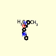 Cc1ccc2c(c1)[C@]1(C[C@H]1c1ccc3cnn(Cc4ccccc4)c3c1)C(=O)N2C